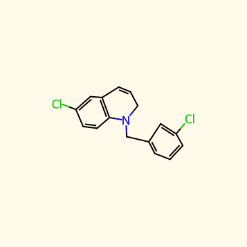 Clc1cccc(CN2CC=Cc3cc(Cl)ccc32)c1